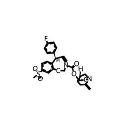 C=C1CC2CCN1C[C@H]2OC(=O)N1C#C[C@H](c2ccc(F)cc2)c2ccc(S(C)(=O)=O)cc2CC1